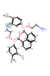 Cc1ccc(B(OCCN)C(OC(B(OCCN)c2ccc(C)c(Cl)c2)c2ccccc2)c2ccccc2)cc1Cl